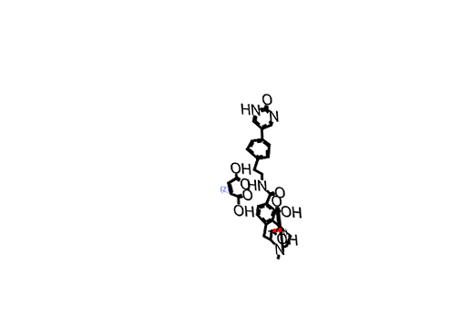 CN1CC[C@]23CC(=O)CCC2(O)C1Cc1ccc(C(=O)NCCc2ccc(-c4cnc(=O)[nH]c4)cc2)c(O)c13.O=C(O)/C=C\C(=O)O